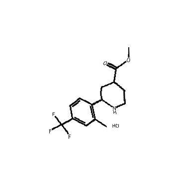 COC(=O)C1CCNC(c2ccc(C(F)(F)F)cc2C)C1.Cl